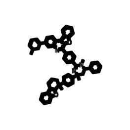 CC1C=CC=C(c2ccc3c(c2)nc(-c2ccc(C4=NC(C)(c5ccc(C6(C)CC=Cc7c6oc6ccccc76)cc5)CC(c5ccccc5)N4C)cc2)c2oc4ccccc4c23)C1